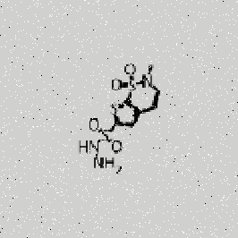 CN1C=Cc2cc(S(=O)(=O)NN)sc2S1(=O)=O